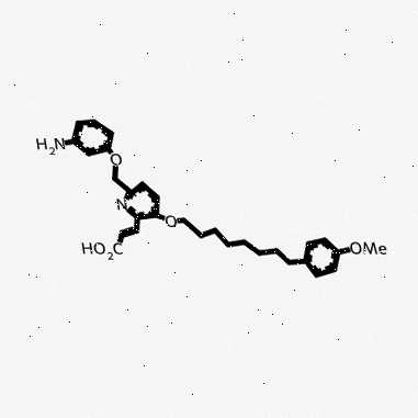 COc1ccc(CCCCCCCCOc2ccc(COc3cccc(N)c3)nc2C=CC(=O)O)cc1